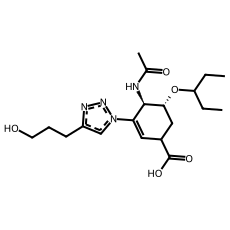 CCC(CC)O[C@@H]1CC(C(=O)O)C=C(n2cc(CCCO)nn2)[C@H]1NC(C)=O